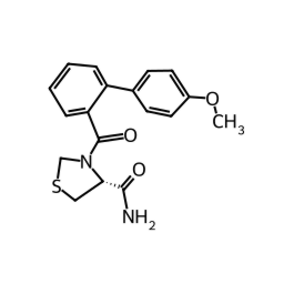 COc1ccc(-c2ccccc2C(=O)N2CSC[C@H]2C(N)=O)cc1